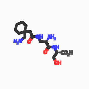 NCC1(CC(=O)NC[C@H](N)C(=O)N[C@@H](CO)C(=O)O)CCCCC1